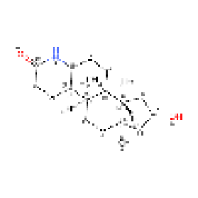 C[C@]12CC[C@@H]3[C@@H](CCC4NC(=O)CC[C@@]43C)[C@@H]1CC(O)C2